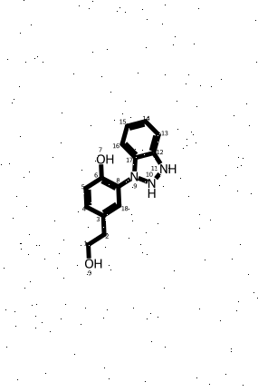 OCCc1ccc(O)c(N2NNc3ccccc32)c1